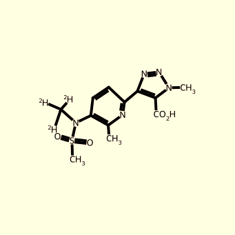 [2H]C([2H])([2H])N(c1ccc(-c2nnn(C)c2C(=O)O)nc1C)S(C)(=O)=O